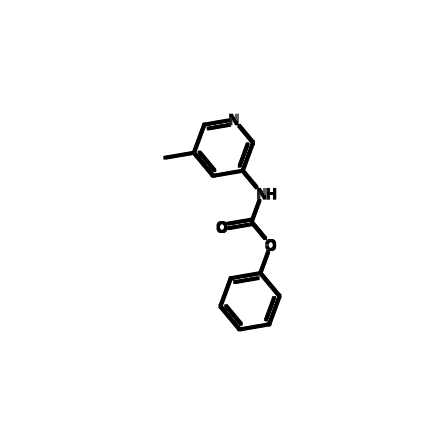 Cc1cncc(NC(=O)Oc2ccccc2)c1